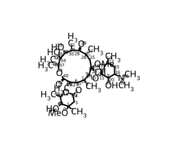 COC1(C)C[C@H](O[C@H]2[C@H](C)[C@@H](O[C@@H]3OC(C)CC(N(C)C)C3O)[C@](C)(OC)C[C@@H](C)C(=O)[C@H](C)[C@@H](O)[C@](C)(O)[C@@H](C)OC(=O)[C@@H]2C)OC(C)[C@@H]1O